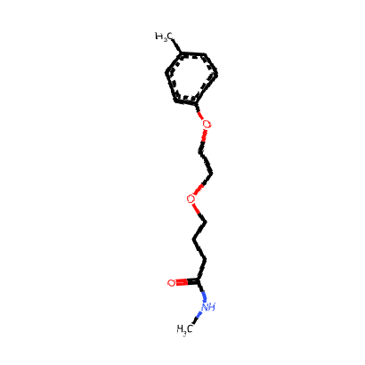 CNC(=O)CCCOCCOc1ccc(C)cc1